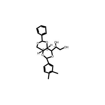 Cc1ccc(C2OC([C@@H](O)CO)[C@H]3OC(c4ccccc4)OC[C@H]3O2)cc1C